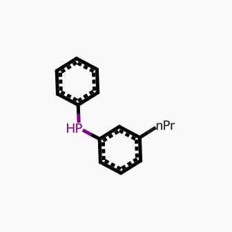 CCCc1cccc(Pc2ccccc2)c1